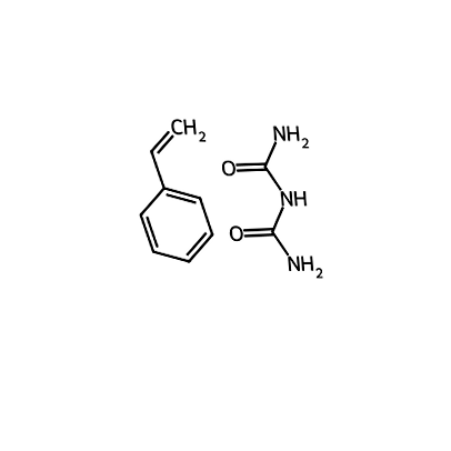 C=Cc1ccccc1.NC(=O)NC(N)=O